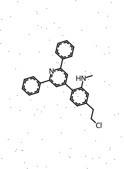 CNc1cc(CCCl)ccc1-c1cc(-c2ccccc2)nc(-c2ccccc2)c1